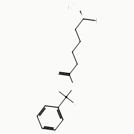 CCC[C@@H](I)CCCCC(=S)SC(C)(C)c1ccccc1